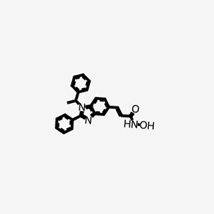 CC(c1ccccc1)n1c(-c2ccccc2)nc2cc(C=CC(=O)NO)ccc21